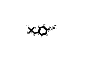 [C-]#[N+]c1ccc(CC(C)(C)C)cc1